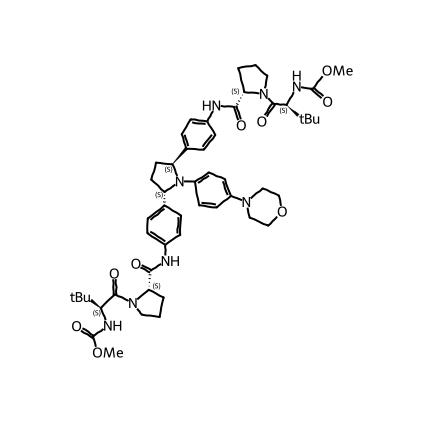 COC(=O)N[C@H](C(=O)N1CCC[C@H]1C(=O)Nc1ccc([C@@H]2CC[C@@H](c3ccc(NC(=O)[C@@H]4CCCN4C(=O)[C@@H](NC(=O)OC)C(C)(C)C)cc3)N2c2ccc(N3CCOCC3)cc2)cc1)C(C)(C)C